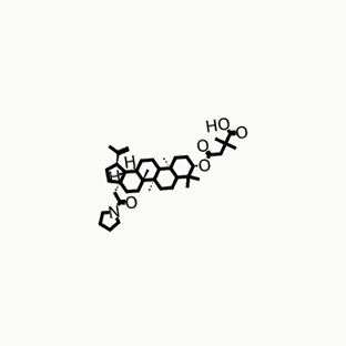 C=C(C)[C@@H]1CC[C@]2(CC(=O)N3CCCC3)CC[C@]3(C)[C@H](CCC4[C@@]5(C)CC[C@H](OC(=O)CC(C)(C)C(=O)O)C(C)(C)C5CC[C@]43C)[C@@H]12